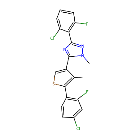 Cc1c(-c2nc(-c3c(F)cccc3Cl)nn2C)csc1-c1ccc(Cl)cc1F